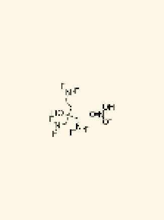 O=[N+]([O-])O.OC(CCN(F)F)(CN(F)F)CN(F)F